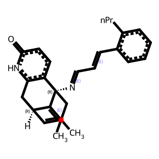 C/C=C1\[C@H]2C=C(C)C[C@]1(/N=C/C=C/c1ccccc1CCC)c1ccc(=O)[nH]c1C2